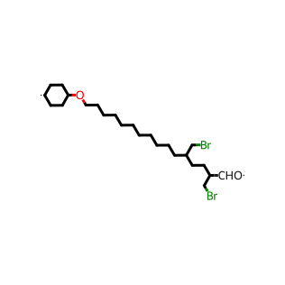 O=[C]C(CBr)CCC(CBr)CCCCCCCCCCCOC1CC[CH]CC1